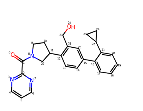 O=C(c1ncccn1)N1CCC(c2ccc(-c3ccccc3C3CC3)cc2CO)C1